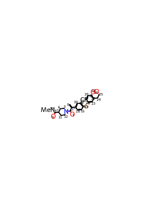 C=C(C(=O)N1CCC(C(=O)NC)CC1)c1ccc(Sc2ccc3c(c2)CCOO3)c(C(F)(F)F)c1